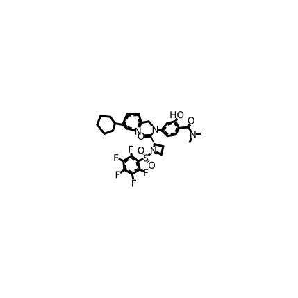 CN(C)C(=O)c1ccc(N(Cc2ccc(C3CCCCC3)cn2)C(=O)[C@H]2CCN2S(=O)(=O)c2c(F)c(F)c(F)c(F)c2F)cc1O